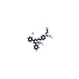 CN(CCC#N)c1ccc(/C=C/c2cc(-c3ccccc3)cc(-c3ccc(F)cc3)[n+]2C)cc1.[I-]